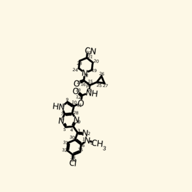 Cn1nc(-c2cnc3[nH]cc(OC(=O)N[C@@H](C(=O)N4CCC(C#N)CC4)C4CC4)c3n2)c2ccc(Cl)cc21